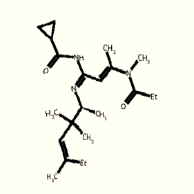 CCC(=O)N(C)/C(C)=C/C(=N\[C@@H](C)C(C)(C)/C=C(/C)CC)NC(=O)C1CC1